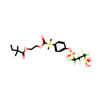 CCC(C)(C)C(=O)OCCOC(=O)S(C)(C)c1ccc(OS(=O)(=O)C(F)(F)C(F)(F)C(F)(F)S(=O)(=O)O)cc1